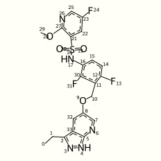 CCc1n[nH]c2ncc(OCc3c(F)ccc(NS(=O)(=O)c4cc(F)cnc4OC)c3F)cc12